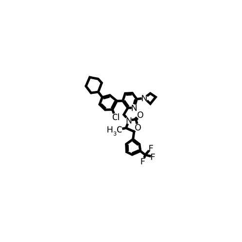 CC1C(c2cccc(C(F)(F)F)c2)OC(=O)N1Cc1nc(N2CCC2)ccc1-c1cc(C2CCCCC2)ccc1Cl